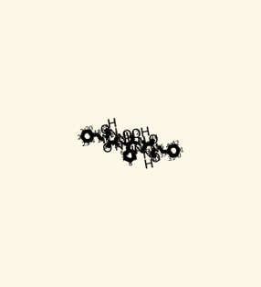 O=C(O)C(=C(c1ccccc1)c1nc2c(=O)n(CCC3=CCCCC3)c(=O)[nH]c2[nH]1)c1nc2c(=O)n(CCC3=CCCCC3)c(=O)[nH]c2[nH]1